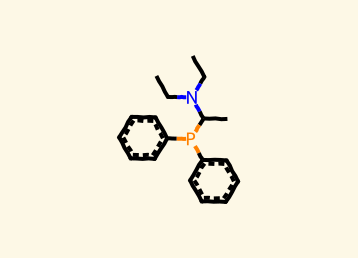 CCN(CC)C(C)P(c1ccccc1)c1ccccc1